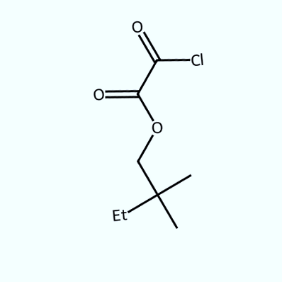 CCC(C)(C)COC(=O)C(=O)Cl